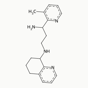 Cc1cccnc1C(N)CCNC1CCCc2cccnc21